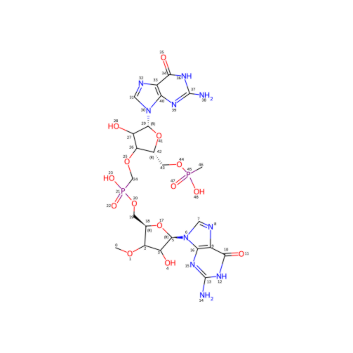 COC1C(O)[C@H](n2cnc3c(=O)[nH]c(N)nc32)O[C@@H]1COP(=O)(O)COC1C(O)[C@H](n2cnc3c(=O)[nH]c(N)nc32)O[C@@H]1COP(C)(=O)O